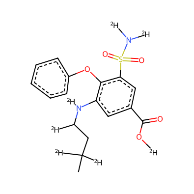 [2H]OC(=O)c1cc(N([2H])C([2H])CC([2H])([2H])C)c(Oc2ccccc2)c(S(=O)(=O)N([2H])[2H])c1